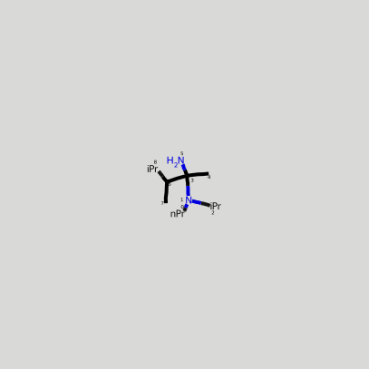 CCCN(C(C)C)C(C)(N)C(C)C(C)C